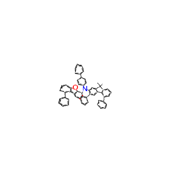 CC1(C)c2cc(N(c3ccc(-c4ccccc4)cc3)c3cccc4c3oc3cccc(-c5ccccc5)c34)c(-c3ccccc3)cc2-c2c(-c3ccccc3)cccc21